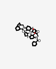 O=C(c1ccccc1)N(CC1=CCO1)c1ccc(F)[c]([Ti]([C]2=CC=CC2)([C]2=CC=CC2)[c]2c(F)ccc(N(CC3=CCO3)C(=O)c3ccccc3)c2F)c1F